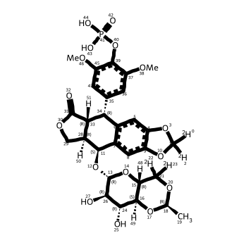 [2H]C1([2H])Oc2cc3c(cc2O1)[C@@H](O[C@@H]1O[C@H]2[C@@H](O[C@H](C)OC2([2H])[2H])[C@H](O)[C@H]1O)[C@H]1COC(=O)[C@@H]1[C@@H]3c1cc(OC)c(OP(=O)(O)O)c(OC)c1